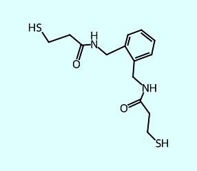 O=C(CCS)NCc1ccccc1CNC(=O)CCS